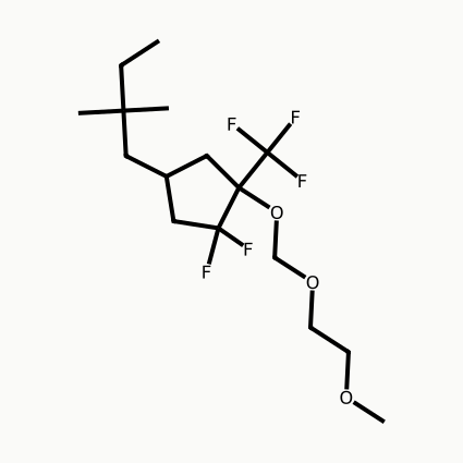 CCC(C)(C)CC1CC(F)(F)C(OCOCCOC)(C(F)(F)F)C1